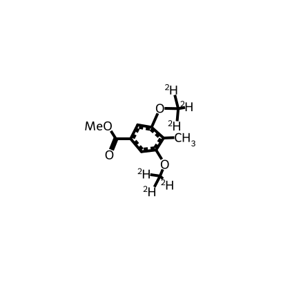 [2H]C([2H])([2H])Oc1cc(C(=O)OC)cc(OC([2H])([2H])[2H])c1C